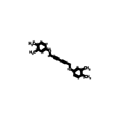 Cc1ccc(OCC#CC#CCOc2ccc(C)c(C)c2)cc1C